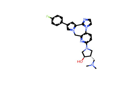 CN(C)C[C@H]1CN(c2ccc3c(n2)Cn2cc(-c4ccc(F)cc4)cc2-c2nccn2-3)C[C@@H]1O